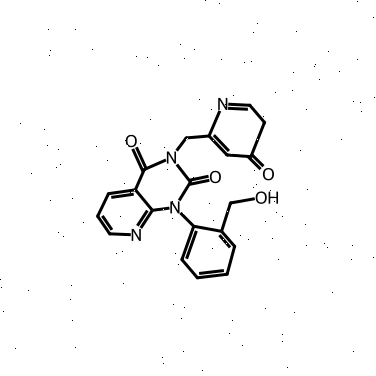 O=C1C=C(Cn2c(=O)c3cccnc3n(-c3ccccc3CO)c2=O)N=CC1